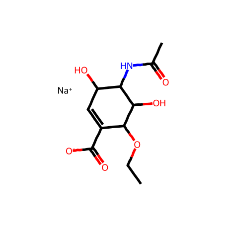 CCOC1C(C(=O)[O-])=CC(O)C(NC(C)=O)C1O.[Na+]